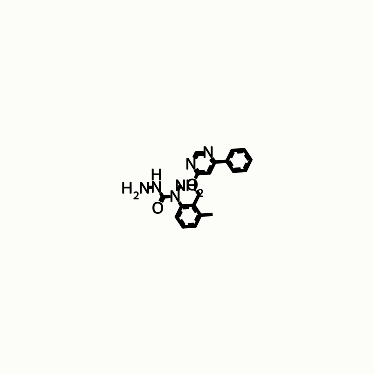 Cc1cccc(N(N)C(=O)NN)c1COc1cc(-c2ccccc2)ncn1